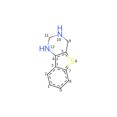 c1ccc2c3c(sc2c1)CNCN3